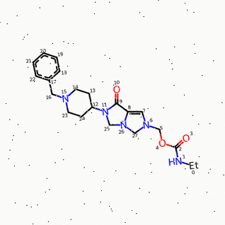 CCNC(=O)OCN1C=C2C(=O)N(C3CCN(Cc4ccccc4)CC3)CN2C1